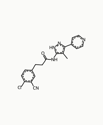 Cc1c(-c2ccncc2)n[nH]c1NC(=O)CCc1ccc(Cl)c(C#N)c1